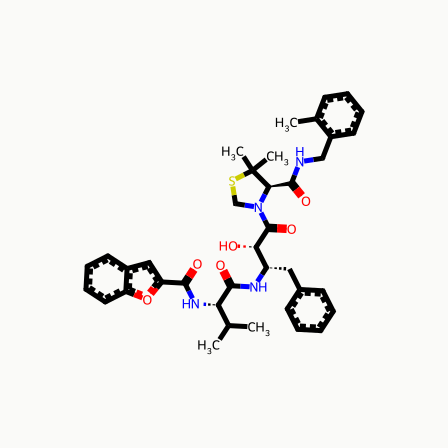 Cc1ccccc1CNC(=O)[C@H]1N(C(=O)[C@@H](O)[C@H](Cc2ccccc2)NC(=O)[C@@H](NC(=O)c2cc3ccccc3o2)C(C)C)CSC1(C)C